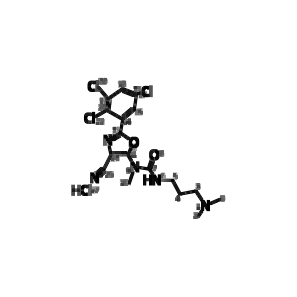 CN(C)CCCNC(=O)N(C)c1oc(-c2cc(Cl)cc(Cl)c2Cl)nc1C#N.Cl